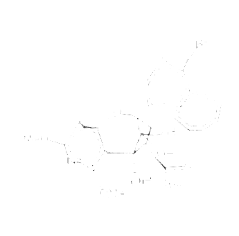 COC(=O)[C@@H]1[C@@H](c2ccccc2)[C@]2(c3ccc(Br)cc3)Oc3cc(OC)nc(OC)c3[C@@]1(O)C2(O)O